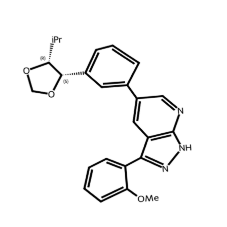 COc1ccccc1-c1n[nH]c2ncc(-c3cccc([C@@H]4OCO[C@@H]4C(C)C)c3)cc12